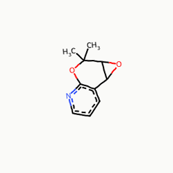 CC1(C)Oc2ncccc2C2OC21